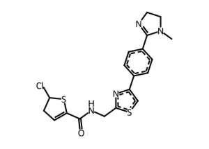 CN1CCN=C1c1ccc(-c2csc(CNC(=O)C3=CCC(Cl)S3)n2)cc1